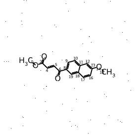 COC(=O)C=CC(=O)c1ccc2cc(OC)ccc2c1